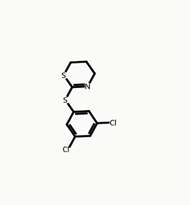 Clc1cc(Cl)cc(SC2=NCCCS2)c1